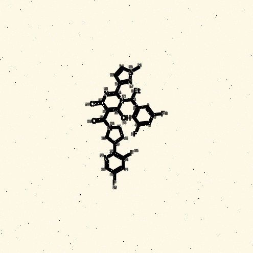 CCC(c1cc(F)cc(F)c1)n1c(-c2ccn(C)n2)nc(=O)c(C(=O)N2CCC(c3ncc(F)cc3F)C2)c1O